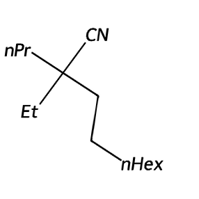 CCCCCCCCC(C#N)(CC)CCC